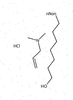 C=CCN(C)C.CCCCCCCCCCCCCCCCO.Cl